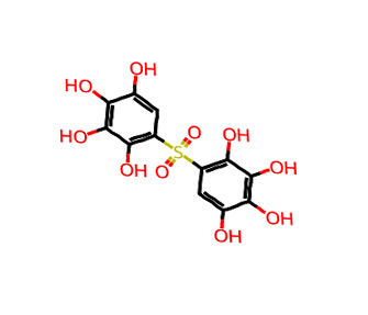 O=S(=O)(c1cc(O)c(O)c(O)c1O)c1cc(O)c(O)c(O)c1O